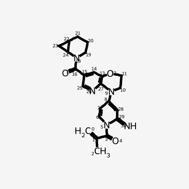 C=C(C)C(=O)n1ccc(N2CCOc3cc(C(=O)N4CCCC5CC54)cnc32)cc1=N